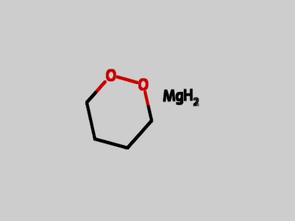 C1CCOOC1.[MgH2]